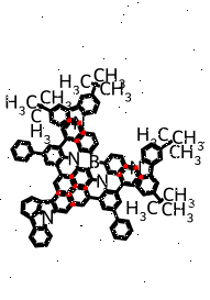 CC(C)(C)c1ccc2c(c1)c1cc(C(C)(C)C)ccc1n2-c1ccc2c(c1)N(c1c(-c3ccccc3)cc(-c3ccccc3)cc1-c1ccccc1)c1cc(-c3ccc4c(c3)c3cccc5c6ccccc6n4c53)cc3c1B2c1ccc(-n2c4ccc(C(C)(C)C)cc4c4cc(C(C)(C)C)ccc42)cc1N3c1c(-c2ccccc2)cc(-c2ccccc2)cc1-c1ccccc1